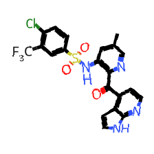 Cc1cnc(C(=O)c2ccnc3[nH]ccc23)c(NS(=O)(=O)c2ccc(Cl)c(C(F)(F)F)c2)c1